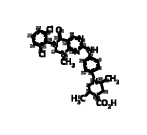 CC1CN(c2ccc(Nc3ncc4c(n3)N(C)CN(c3c(Cl)cccc3Cl)C4=O)cc2)C(C)CN1C(=O)O